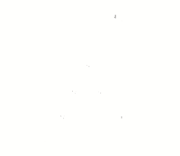 CCCc1cc(N2[CH]CCC2)nc(Nc2ccc(Cl)c(N)c2)n1